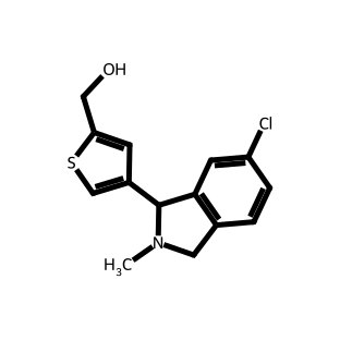 CN1Cc2ccc(Cl)cc2C1c1csc(CO)c1